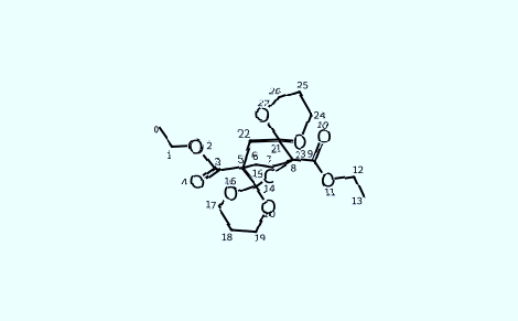 CCOC(=O)C12CCC(C(=O)OCC)(CC13OCCCO3)C1(C2)OCCCO1